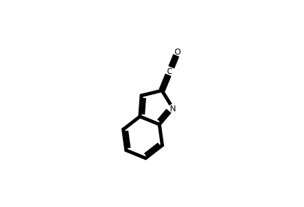 O=C=C1C=c2ccccc2=N1